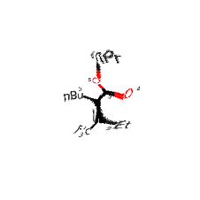 CCCCC(CC)(C(=O)OCCC)C(F)(F)F